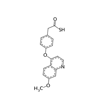 COc1ccc2c(Oc3ccc(CC(=O)S)cc3)ccnc2c1